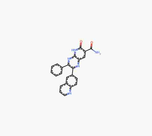 NC(=O)c1cc2nc(-c3ccc4ncccc4c3)c(-c3ccccc3)nc2[nH]c1=O